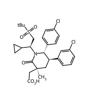 CC(C)(C)S(=O)(=O)C[C@H](C1CC1)N1C(=O)[C@](C)(CC(=O)O)C[C@H](c2cccc(Cl)c2)[C@H]1c1ccc(Cl)cc1